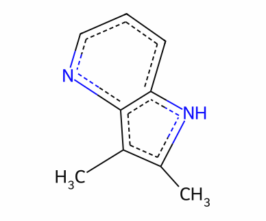 Cc1[nH]c2cccnc2c1C